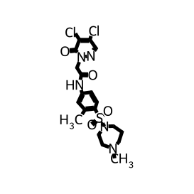 Cc1cc(NC(=O)Cn2ncc(Cl)c(Cl)c2=O)ccc1S(=O)(=O)N1CCCN(C)CC1